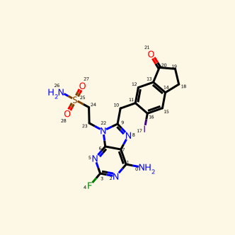 Nc1nc(F)nc2c1nc(Cc1cc3c(cc1I)CCC3=O)n2CCS(N)(=O)=O